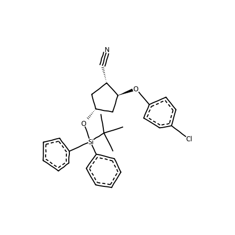 CC(C)(C)[Si](O[C@H]1C[C@H](Oc2ccc(Cl)cc2)[C@@H](C#N)C1)(c1ccccc1)c1ccccc1